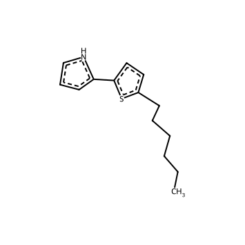 CCCCCCc1ccc(-c2ccc[nH]2)s1